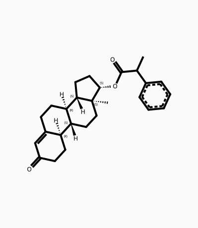 CC(C(=O)O[C@H]1CC[C@H]2[C@@H]3CCC4=CC(=O)CC[C@@H]4[C@H]3CC[C@]12C)c1ccccc1